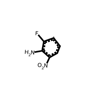 Nc1c(F)[c]ccc1[N+](=O)[O-]